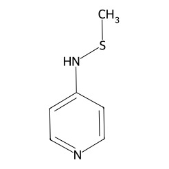 CSNc1ccncc1